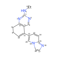 CCNc1ncc2c(n1)CCC=C2c1ccc2nccn2c1